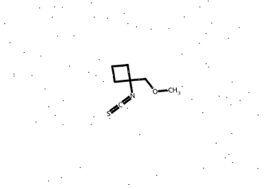 COCC1(N=C=S)CCC1